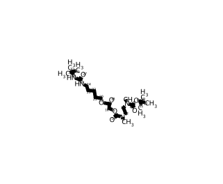 CN(CCN(C)C(=O)OC(C)(C)C)C(=O)OCC(=O)OCCCCCNC(=O)NC(C)(C)C